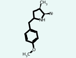 COc1ccc(CC2C[C@@H](C)[C@@H]([N])N2)cc1